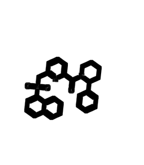 O=C(c1cccc(CS(=O)(=O)c2cccc3ccccc23)n1)N1CCCCC1c1ccccc1